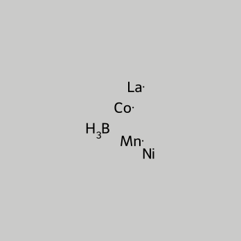 B.[Co].[La].[Mn].[Ni]